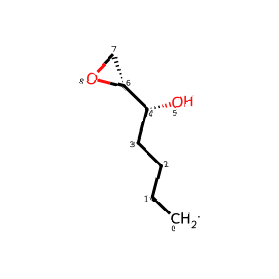 [CH2]CCC[C@@H](O)[C@H]1CO1